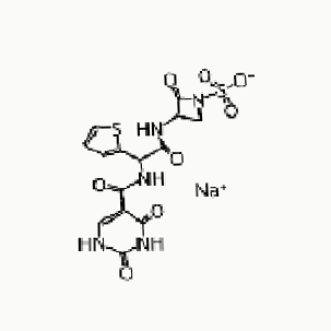 O=C(NC(C(=O)NC1CN(S(=O)(=O)[O-])C1=O)c1cccs1)c1c[nH]c(=O)[nH]c1=O.[Na+]